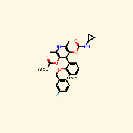 COC(=O)OC1=C(C)NC(C)=C(OC(=O)NC2CC2)C1c1cccc(OC)c1OCc1cccc(F)c1